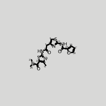 Cc1nc(NC(=O)Cc2csc(NC(=O)c3ccco3)n2)sc1C(=O)N(C)C